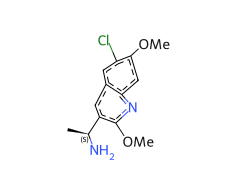 COc1cc2nc(OC)c([C@H](C)N)cc2cc1Cl